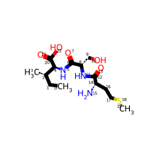 CC[C@H](C)[C@H](NC(=O)[C@H](CO)NC(=O)[C@@H](N)CCSC)C(=O)O